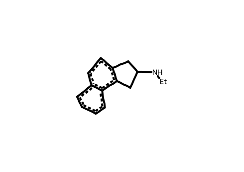 CCNC1Cc2ccc3ccccc3c2C1